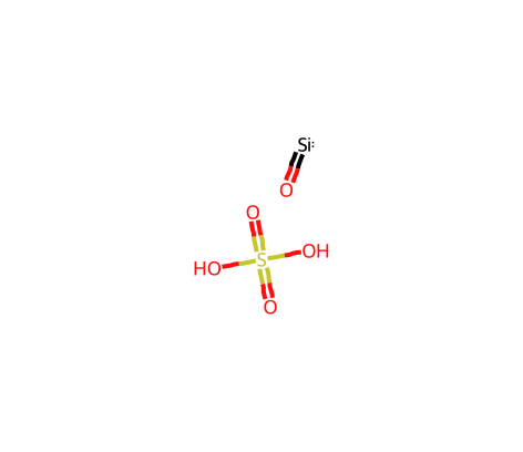 O=S(=O)(O)O.O=[Si]